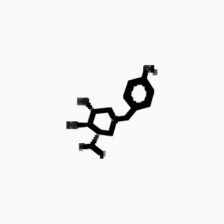 Cc1ccc(CN2C[C@@H](O)[C@H](O)[C@@H](C(F)F)C2)cc1